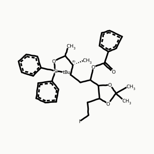 CC(O[Si](c1ccccc1)(c1ccccc1)C(C)(C)C)[C@H](C)CCC(OC(=O)c1ccccc1)C1OC(C)(C)OC1CCI